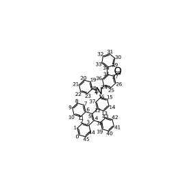 c1ccc(C(=C(c2ccccc2)c2cccc(N(c3ccccc3)c3ccc4oc5ccccc5c4c3)c2)c2ccccc2)cc1